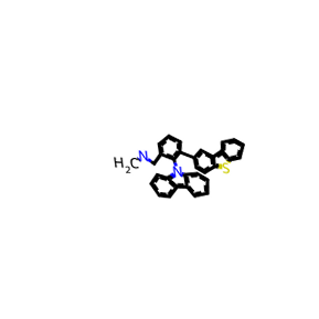 C=NCc1cccc(-c2ccc3sc4ccccc4c3c2)c1-n1c2ccccc2c2ccccc21